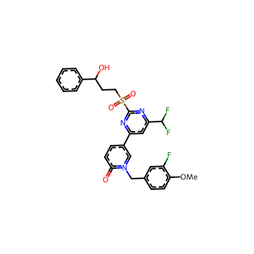 COc1ccc(Cn2cc(-c3cc(C(F)F)nc(S(=O)(=O)CCC(O)c4ccccc4)n3)ccc2=O)cc1F